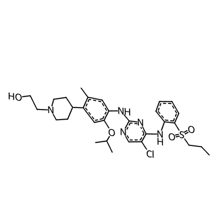 CCCS(=O)(=O)c1ccccc1Nc1nc(Nc2cc(C)c(C3CCN(CCO)CC3)cc2OC(C)C)ncc1Cl